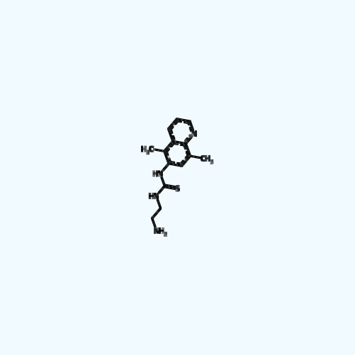 Cc1c(NC(=S)NCCN)cc(C)c2ncccc12